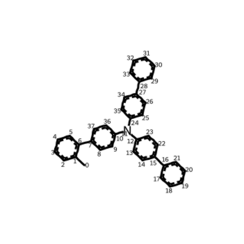 Cc1ccccc1-c1ccc(N(c2ccc(-c3ccccc3)cc2)c2ccc(-c3ccccc3)cc2)cc1